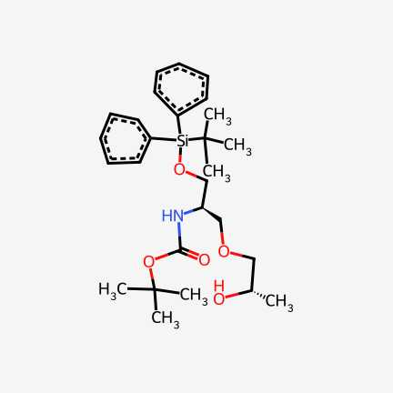 C[C@H](O)COC[C@H](CO[Si](c1ccccc1)(c1ccccc1)C(C)(C)C)NC(=O)OC(C)(C)C